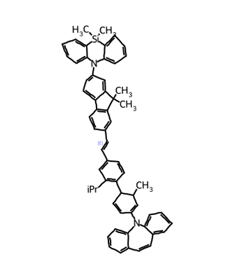 CC(C)c1cc(/C=C/c2ccc3c(c2)C(C)(C)c2cc(N4c5ccccc5[Si](C)(C)c5ccccc54)ccc2-3)ccc1C1C=CC(N2c3ccccc3C=Cc3ccccc32)=CC1C